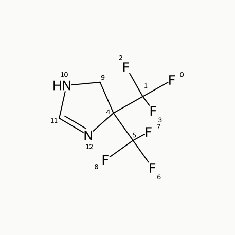 FC(F)(F)C1(C(F)(F)F)CNC=N1